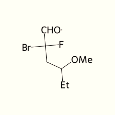 CCC(CC(F)(Br)[C]=O)OC